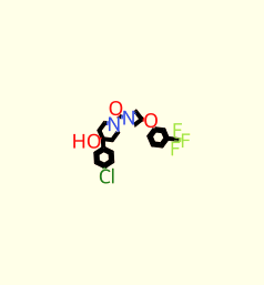 O=C(N1CCC(O)(c2ccc(Cl)cc2)CC1)N1CC(Oc2cccc(C(F)(F)F)c2)C1